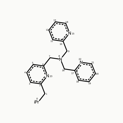 CC(C)Cc1cccc(CN(Cc2ccccn2)Cc2ccccn2)n1